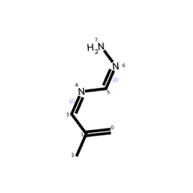 C=C(C)/C=N\C=N/N